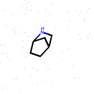 C1CC2CN[C]1C2